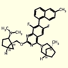 Cc1ccc2c(-c3c(F)cc4c(N5C[C@H]6CC[C@@](C)(C6)C5)nc(OC[C@@]56C[C@@H]5CCC6N(C)C)nc4c3F)cccc2c1